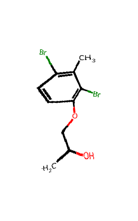 [CH2]C(O)COc1ccc(Br)c(C)c1Br